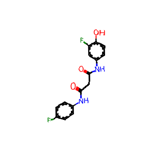 O=C(CC(=O)Nc1ccc(O)c(F)c1)Nc1ccc(F)cc1